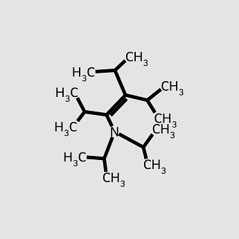 CC(C)C(=C(C(C)C)N(C(C)C)C(C)C)C(C)C